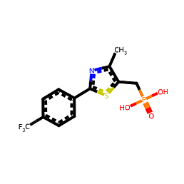 Cc1nc(-c2ccc(C(F)(F)F)cc2)sc1CP(=O)(O)O